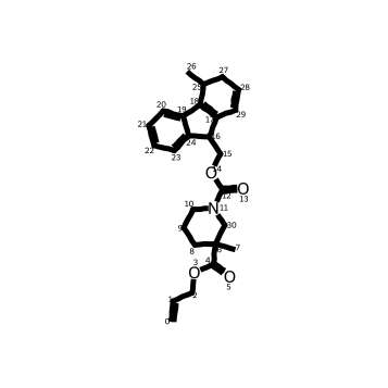 C=CCOC(=O)C1(C)CCCN(C(=O)OCC2C3=C(c4ccccc42)C(C)CC=C3)C1